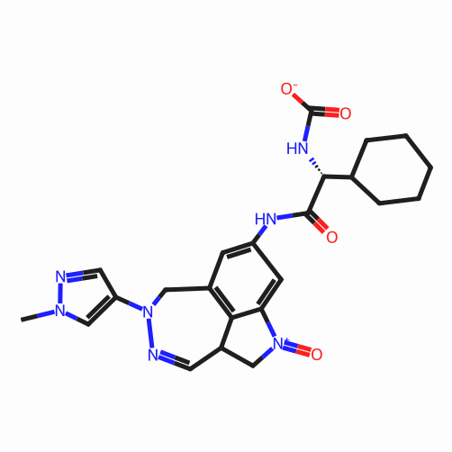 Cn1cc(N2Cc3cc(NC(=O)[C@H](NC(=O)[O-])C4CCCCC4)cc4c3C(C=N2)C[N+]4=O)cn1